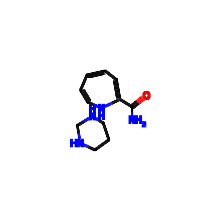 C1CNCNC1.NC(=O)C1=CC=CC=CN1